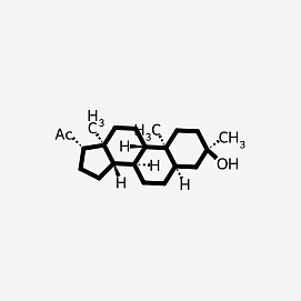 CC(=O)[C@H]1CC[C@H]2[C@@H]3CC[C@@H]4C[C@](C)(O)CC[C@]4(C)[C@H]3CC[C@]12C